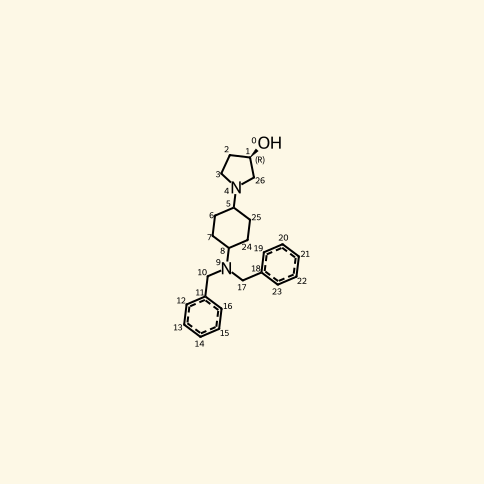 O[C@@H]1CCN(C2CCC(N(Cc3ccccc3)Cc3ccccc3)CC2)C1